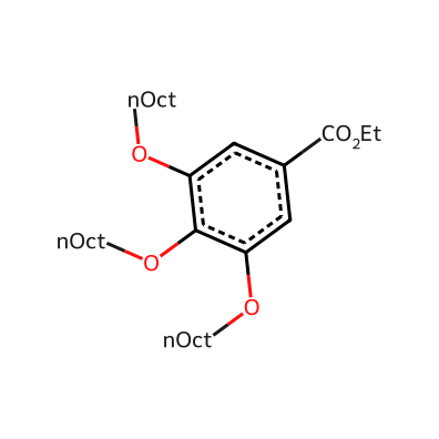 CCCCCCCCOc1cc(C(=O)OCC)cc(OCCCCCCCC)c1OCCCCCCCC